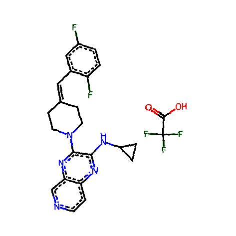 Fc1ccc(F)c(C=C2CCN(c3nc4cnccc4nc3NC3CC3)CC2)c1.O=C(O)C(F)(F)F